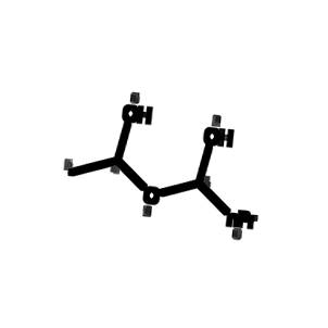 CCCC(O)OC(C)O